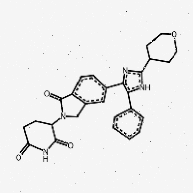 O=C1CCC(N2Cc3cc(-c4nc(C5CCOCC5)[nH]c4-c4ccccc4)ccc3C2=O)C(=O)N1